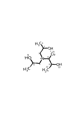 CC(O)CN(CC(C)O)[CH]([Cu])C(C)O